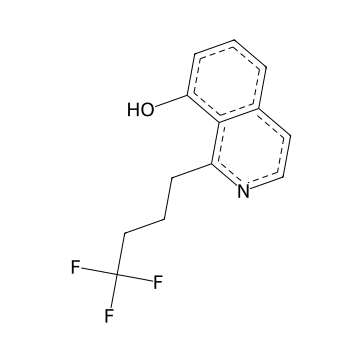 Oc1cccc2ccnc(CCCC(F)(F)F)c12